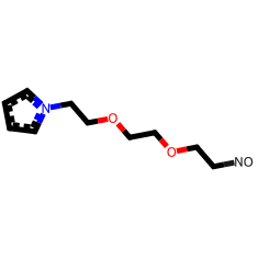 O=NCCOCCOCCn1cccc1